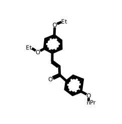 CCCOc1ccc(C(=O)C=Cc2ccc(OCC)cc2OCC)cc1